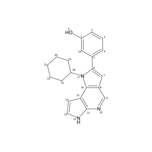 Oc1cccc(-c2cc3cnc4[nH]ccc4c3n2C2CCCCC2)c1